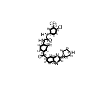 O=C(Nc1ccc(Cl)c(C(F)(F)F)c1)Nc1ccc(C(=O)c2ccc3ncc(N4CCNCC4)nc3c2)cc1F